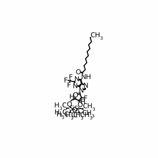 CCCCCCCCCCCC(=O)Nc1nc(C(F)(F)F)nc2c1ncn2[C@@H]1O[C@@H]2CO[Si](C(C)C)(C(C)C)O[Si](C(C)C)(C(C)C)O[C@H]2[C@@H]1F